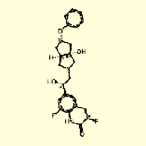 O=C1Nc2c(F)cc([C@H](O)CN3C[C@H]4C[C@H](Oc5ccccc5)C[C@@]4(O)C3)cc2C[C@H]1F